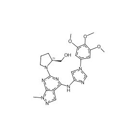 COc1cc(-n2cnc(Nc3nc(N4CCC[C@H]4CO)nc4c3cnn4C)c2)cc(OC)c1OC